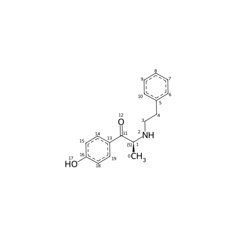 C[C@H](NCCc1ccccc1)C(=O)c1ccc(O)cc1